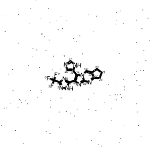 FC(F)(F)c1n[nH]c(-c2nc3nc4c(cn3c2-c2cnc[nH]2)CCC4)n1